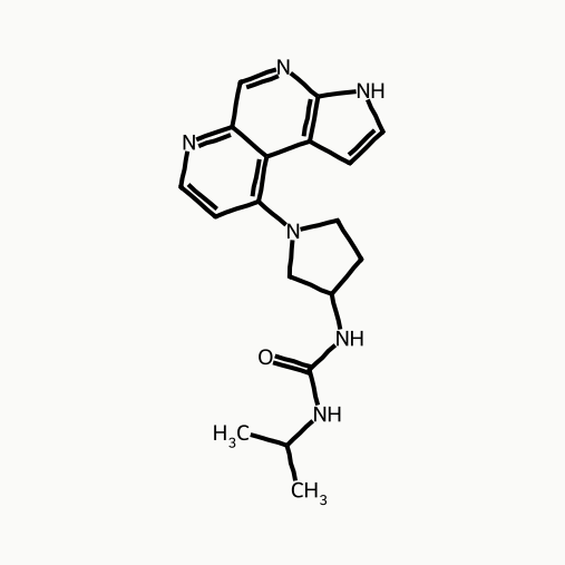 CC(C)NC(=O)NC1CCN(c2ccnc3cnc4[nH]ccc4c23)C1